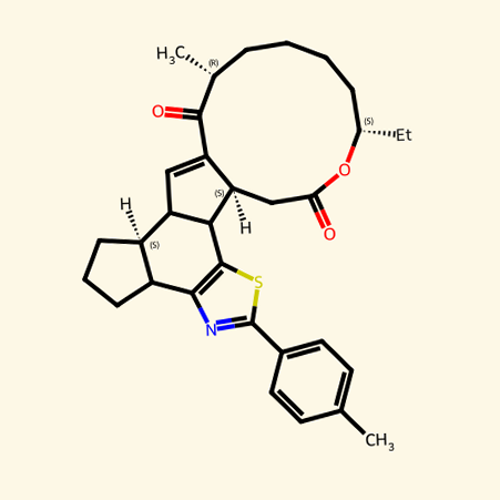 CC[C@H]1CCCC[C@@H](C)C(=O)C2=CC3C(c4sc(-c5ccc(C)cc5)nc4C4CCC[C@H]43)[C@@H]2CC(=O)O1